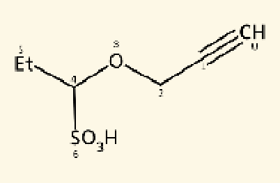 C#CCOC(CC)S(=O)(=O)O